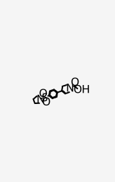 O=C(O)N1CC=C(c2ccc(S(=O)(=O)N3CCCC3)cc2)CC1